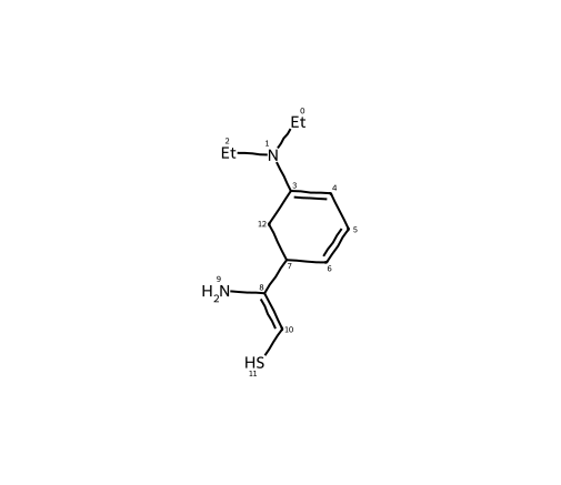 CCN(CC)C1=CC=CC(/C(N)=C/S)C1